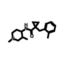 Cc1ccccc1CC1(C(=O)NC2CCN(C)CC2C)CC1